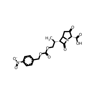 CC(COC(=O)OCc1ccc([N+](=O)[O-])cc1)[C@H]1C(=O)N2C1CC(=O)[C@@H]2C(=O)O